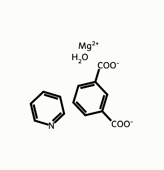 O.O=C([O-])c1cccc(C(=O)[O-])c1.[Mg+2].c1ccncc1